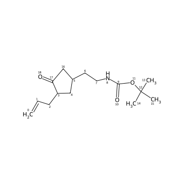 C=CCC1CC(CCNC(=O)OC(C)(C)C)CC1=O